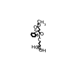 CCOC(=O)CC1Sc2ccccc2N(CCCCCB(O)O)C1=O